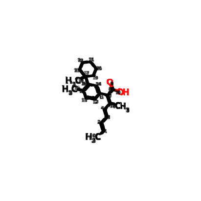 CC=CC=CC(C)=C(C(=O)O)c1ccc(C)c(C2(C)CCCCC2)c1